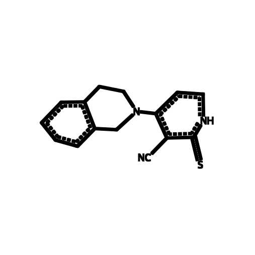 N#Cc1c(N2CCc3ccccc3C2)cc[nH]c1=S